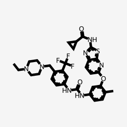 CCN1CCN(Cc2ccc(NC(=O)Nc3ccc(C)c(Oc4ccc5nc(NC(=O)C6CC6)sc5n4)c3)cc2C(F)(F)F)CC1